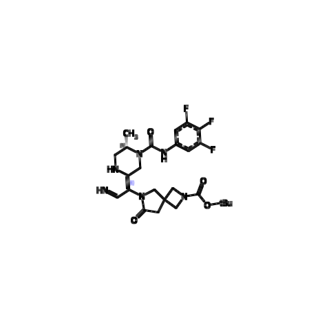 C[C@H]1CN/C(=C(\C=N)N2CC3(CC2=O)CN(C(=O)OC(C)(C)C)C3)CN1C(=O)Nc1cc(F)c(F)c(F)c1